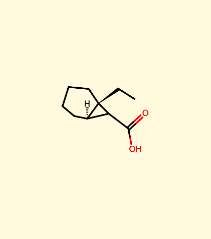 CC[C@]12CCCC[C@@H]1C2C(=O)O